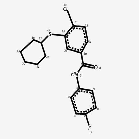 O=C(Nc1ccc(F)cc1)c1ccc(Cl)c(SC2CCCCC2)c1